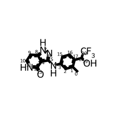 Cc1cc(Nc2n[nH]c3cc[nH]c(=O)c23)ccc1C(O)C(F)(F)F